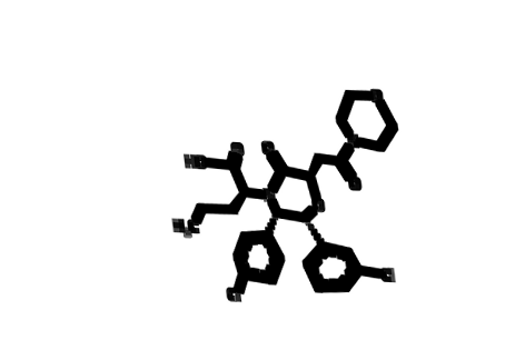 CCC[C@@H](C(=O)O)N1C(=O)[C@@H](CC(=O)N2CCOCC2)O[C@H](c2cccc(Cl)c2)[C@@H]1c1ccc(Cl)cc1